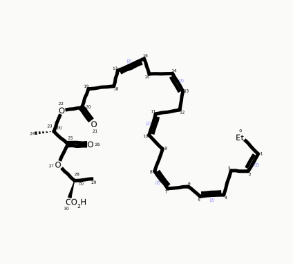 CC/C=C\C/C=C\C/C=C\C/C=C\C/C=C\C/C=C\CCC(=O)O[C@@H](C)C(=O)O[C@@H](C)C(=O)O